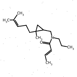 C/C=C/C(=O)N(CCC)CC1CC1(C)CCC=C(C)C